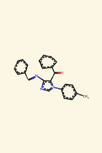 Cc1ccc(-n2cnc(/N=C/c3ccccc3)c2C(=O)c2ccccc2)cc1